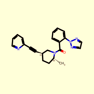 C[C@@H]1CC[C@@H](C#Cc2ccccn2)CN1C(=O)c1ccccc1-n1nccn1